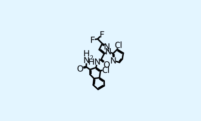 NC(=O)c1cc2ccccc2c(Cl)c1NC(=O)c1cc(C(F)F)nn1-c1ncccc1Cl